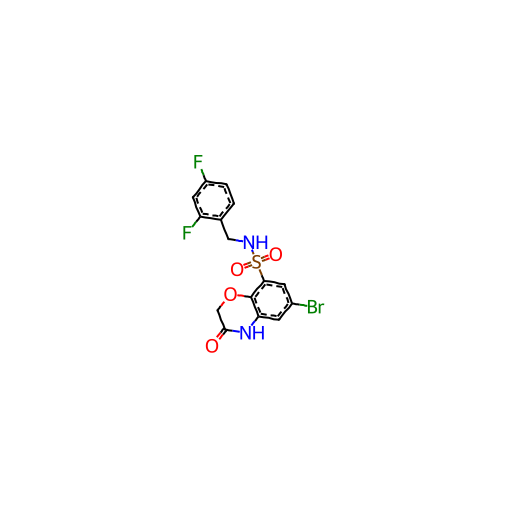 O=C1COc2c(cc(Br)cc2S(=O)(=O)NCc2ccc(F)cc2F)N1